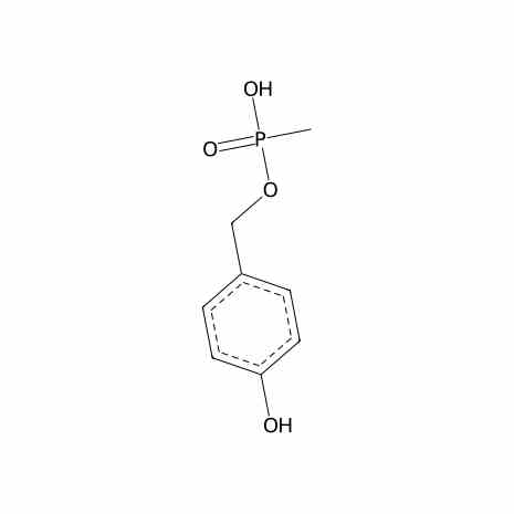 CP(=O)(O)OCc1ccc(O)cc1